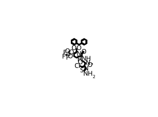 CON=C(C(=O)NC1C(=O)N2C(C(=O)OC(c3ccccc3)c3ccccc3)=C(OS(=O)(=O)C(F)(F)F)CC[C@H]12)c1nc(N)sc1Cl